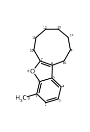 Cc1cccc2c3c(oc12)CCCCCCC3